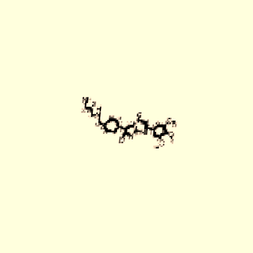 COc1cc(-c2cc(=O)n3cc(-c4ccc(CNCCCN)cc4)c(=O)nc3[nH]2)cc(OC)c1OC